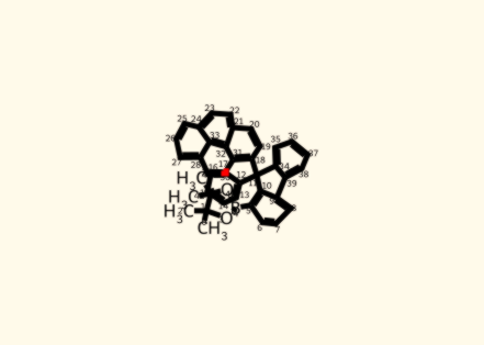 CC1(C)OB(c2cccc3c2C(c2ccccc2)(c2ccc4ccc5cccc6ccc2c4c56)c2ccccc2-3)OC1(C)C